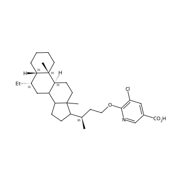 CC[C@H]1CC2C3CCC([C@H](C)CCOc4ncc(C(=O)O)cc4Cl)C3(C)CC[C@@H]2[C@@]2(C)CCCC[C@@H]12